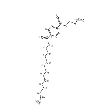 CCCCCCCCCCCCCC(=O)c1ccc(C(=O)OCCCOCCCOCCCOCCCC)cc1